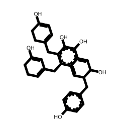 OC1=CC(Cc2c(CC3=CC=C(O)CC3)c(O)c(O)c3c2=CC(Cc2ccc(O)cc2)C(O)C=3)=CCC1